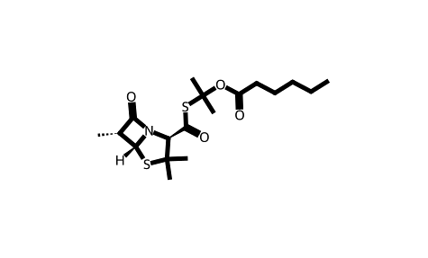 CCCCCC(=O)OC(C)(C)SC(=O)[C@@H]1N2C(=O)[C@@H](C)[C@H]2SC1(C)C